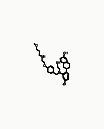 COCCCNCCOc1ccc(CN(CCO)c2cc(OC)ccc2C2CCc3cc(O)ccc3C2)cc1